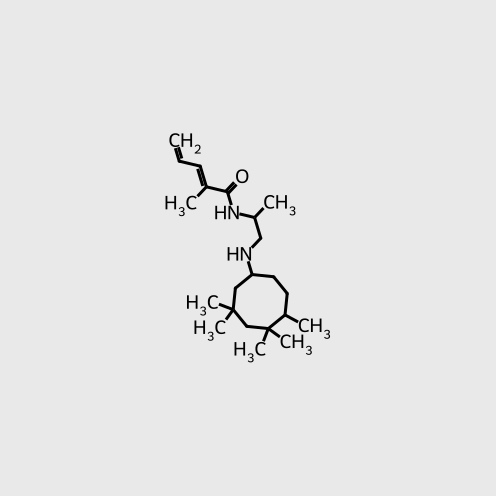 C=C/C=C(\C)C(=O)NC(C)CNC1CCC(C)C(C)(C)CC(C)(C)C1